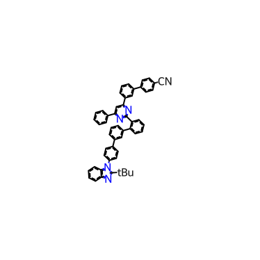 CC(C)(C)c1nc2ccccc2n1-c1ccc(-c2cccc(-c3ccccc3-c3nc(-c4ccccc4)cc(-c4cccc(-c5ccc(C#N)cc5)c4)n3)c2)cc1